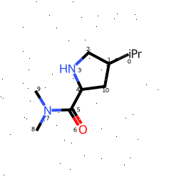 CC(C)C1CNC(C(=O)N(C)C)C1